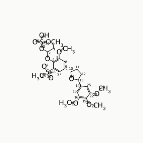 CCC(Oc1c(OC)cc([C@@H]2CC[C@@H](c3cc(OC)c(OC)c(OC)c3)O2)cc1S(C)(=O)=O)OS(=O)(=O)O